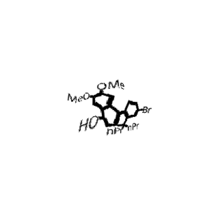 CCCC1(CCC)c2cc(Br)ccc2-c2c1cc(O)c1cc(OC)c(OC)cc21